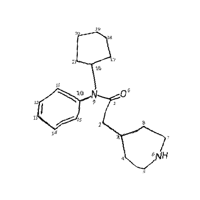 O=C(CC1CCNCC1)N(c1ccccc1)C1CCCCC1